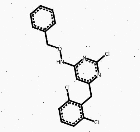 Clc1nc(Cc2c(Cl)cccc2Cl)cc(NOCc2ccccc2)n1